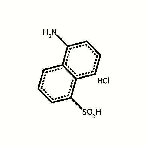 Cl.Nc1cccc2c(S(=O)(=O)O)cccc12